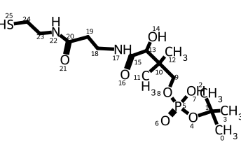 CC(C)(C)OP(=O)(O)OCC(C)(C)C(O)C(=O)NCCC(=O)NCCS